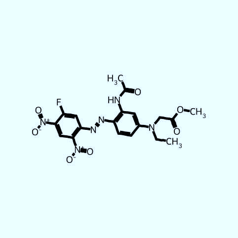 CCN(CC(=O)OC)c1ccc(/N=N/c2cc(F)c([N+](=O)[O-])cc2[N+](=O)[O-])c(NC(C)=O)c1